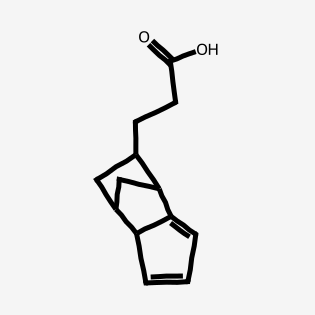 O=C(O)CCC1CC2CC1C1=CC=CC12